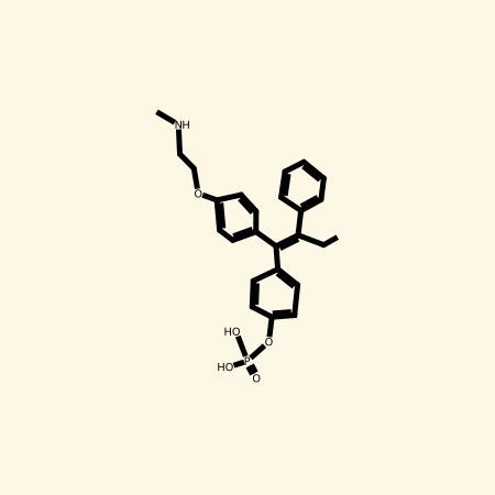 CCC(=C(c1ccc(OCCNC)cc1)c1ccc(OP(=O)(O)O)cc1)c1ccccc1